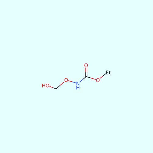 CCOC(=O)NOCO